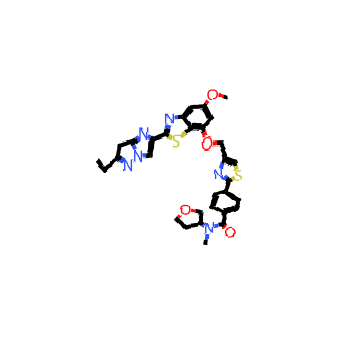 CCC1=Nn2cc(-c3nc4cc(OC)cc(OCc5csc(-c6ccc(C(=O)N(C)C7CCOC7)cc6)n5)c4s3)nc2C1